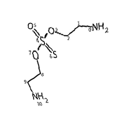 NCCOS(=O)(=S)OCCN